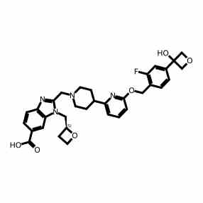 O=C(O)c1ccc2nc(CN3CCC(c4cccc(OCc5ccc(C6(O)COC6)cc5F)n4)CC3)n(C[C@@H]3CCO3)c2c1